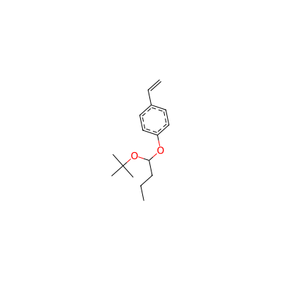 C=Cc1ccc(OC(CCC)OC(C)(C)C)cc1